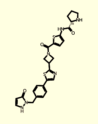 O=C(Nc1ccc(C(=O)N2CC(c3ncc(-c4ccc(Cn5[nH]ccc5=O)cc4)s3)C2)s1)[C@@H]1CCCN1